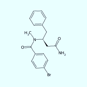 CN(C(=O)c1ccc(Br)cc1)[C@H](CC(N)=O)Cc1ccccc1